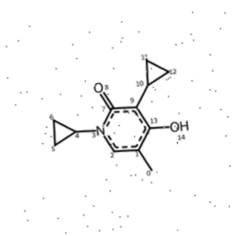 Cc1cn(C2CC2)c(=O)c(C2CC2)c1O